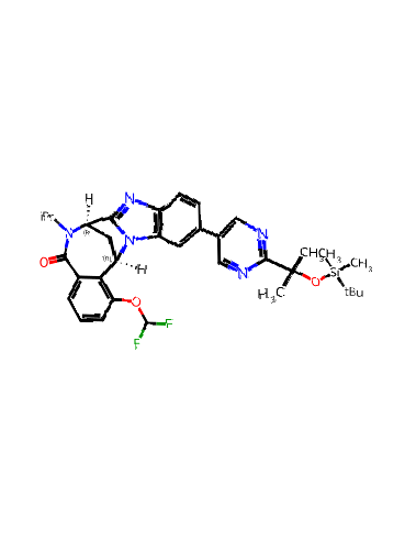 CC(C)N1C(=O)c2cccc(OC(F)F)c2[C@H]2C[C@@H]1c1nc3ccc(-c4cnc(C(C)(C)O[Si](C)(C)C(C)(C)C)nc4)cc3n12